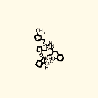 COc1ccccc1CC(CCNC(=O)c1ccccc1O)c1nnc(SCc2cccc(C)c2)n1CC1CCCO1